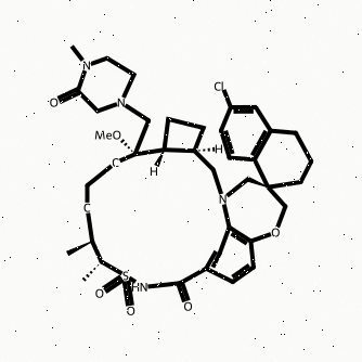 CO[C@@]1(CN2CCN(C)C(=O)C2)CCC[C@H](C)[C@@H](C)S(=O)(=O)NC(=O)c2ccc3c(c2)N(C[C@@H]2CC[C@H]21)C[C@@]1(CCCc2cc(Cl)ccc21)CO3